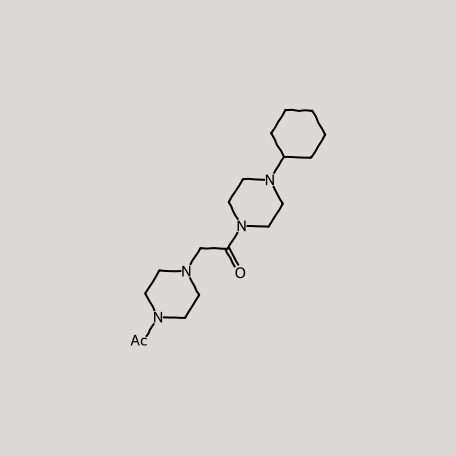 CC(=O)N1CCN(CC(=O)N2CCN(C3CCCCC3)CC2)CC1